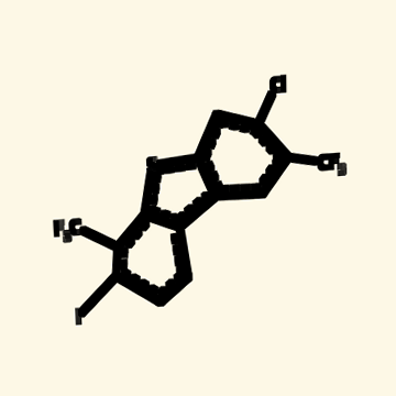 FC(F)(F)c1cc2c(cc1Cl)sc1c(C(F)(F)F)c(I)ccc12